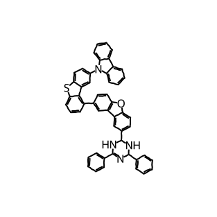 c1ccc(C2=NC(c3ccccc3)NC(c3ccc4oc5ccc(-c6cccc7sc8ccc(-n9c%10ccccc%10c%10ccccc%109)cc8c67)cc5c4c3)N2)cc1